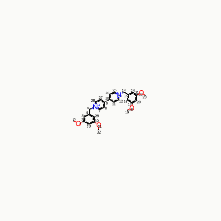 COc1cc(C[n+]2ccc(-c3cc[n+](Cc4cc(OC)cc(OC)c4)cc3)cc2)cc(OC)c1